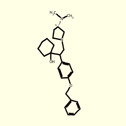 CN(C)[C@H]1CCN(CC(c2ccc(OCc3ccccc3)cc2)C2(O)CCCCC2)C1